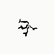 CC(C)CCC[N+](CCCC(C)C)(CCCC(C)C)CCCC(C)C